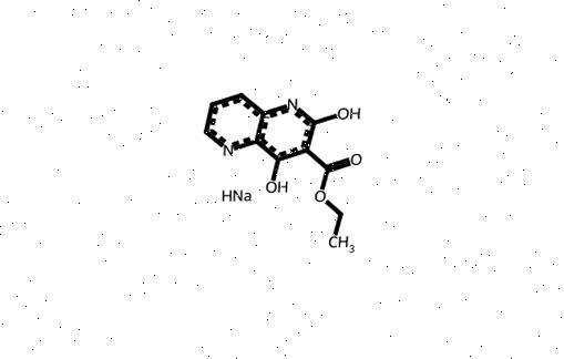 CCOC(=O)c1c(O)nc2cccnc2c1O.[NaH]